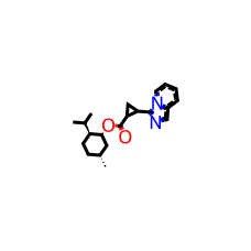 CC(C)[C@@H]1CC[C@@H](C)C[C@H]1OC(=O)C1CC1c1ncc2ccccn12